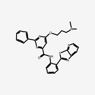 CN(C)CCCOc1cc(C(=O)Nc2ccccc2-c2nc3cccnc3s2)nc(-c2ccccc2)n1